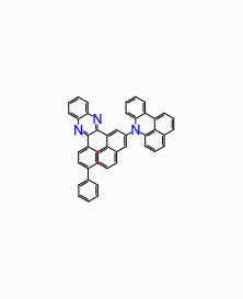 c1ccc(-c2ccc(-c3nc4ccccc4nc3-c3cc(N4c5ccccc5-c5cccc6cccc4c56)cc4ccccc34)cc2)cc1